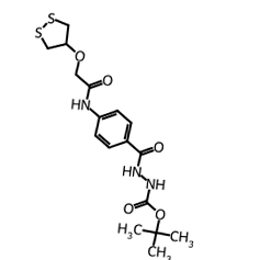 CC(C)(C)OC(=O)NNC(=O)c1ccc(NC(=O)COC2CSSC2)cc1